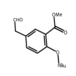 CCCCOc1ccc(CC=O)cc1C(=O)OC